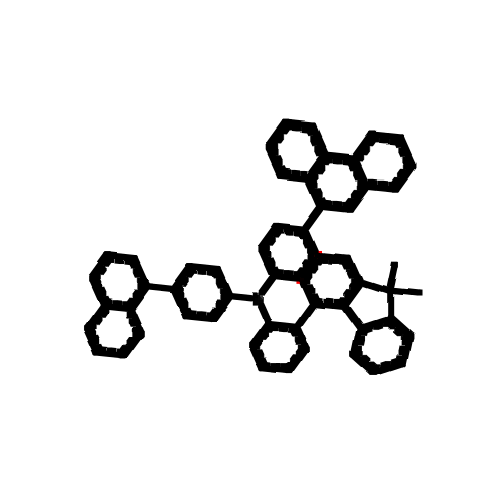 CC1(C)c2ccccc2-c2c(-c3ccccc3N(c3ccc(-c4cccc5ccccc45)cc3)c3ccc(-c4cc5ccccc5c5ccccc45)cc3)cccc21